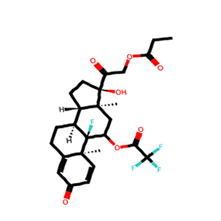 CCC(=O)OCC(=O)[C@@]1(O)CC[C@H]2[C@@H]3CCC4=CC(=O)C=C[C@]4(C)[C@@]3(F)C(OC(=O)C(F)(F)F)C[C@@]21C